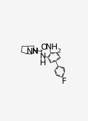 Nc1ccc(-c2ccc(F)cc2)cc1NC(=O)N1CC2CCC(C1)N2